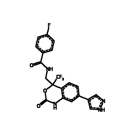 O=C1Nc2cc(-c3cn[nH]c3)ccc2C(CNC(=O)c2ccc(F)cc2)(C(F)(F)F)O1